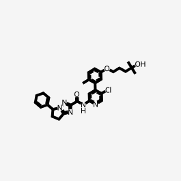 Cc1ccc(OCCCC(C)(C)O)cc1-c1cc(NC(=O)c2nc3n(n2)C(C2=CCCC=C2)CC3)ncc1Cl